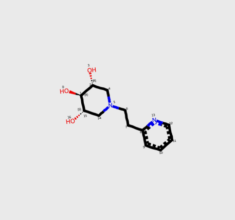 O[C@H]1[C@H](O)CN(CCc2ccccn2)C[C@@H]1O